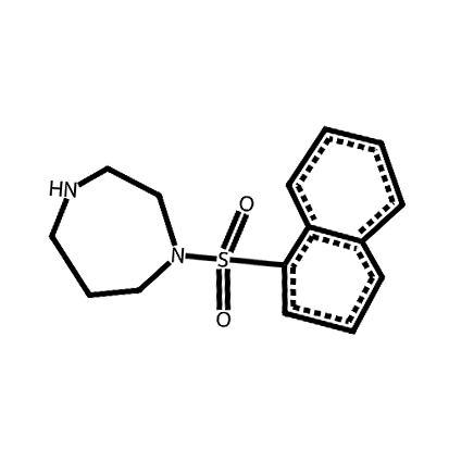 O=S(=O)(c1cccc2ccccc12)N1CCCNCC1